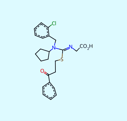 O=C(O)C/N=C(\SCCC(=O)c1ccccc1)N(Cc1ccccc1Cl)C1CCCC1